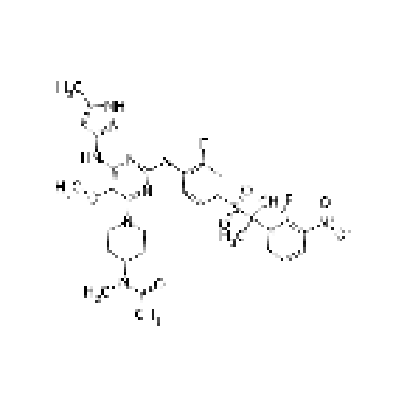 COc1c(Nc2cc(C)[nH]n2)nc(Sc2ccc(S(=O)(=O)C(C)(C)c3cccc([N+](=O)[O-])c3F)cc2F)nc1N1CCC(N(C)C(C)=O)CC1